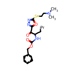 CC(C)CC(NC(=O)OCc1ccccc1)C(=O)c1nnc(SCCN(C)C)o1